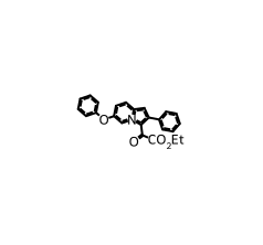 CCOC(=O)C(=O)c1c(-c2ccccc2)cc2ccc(Oc3ccccc3)cn12